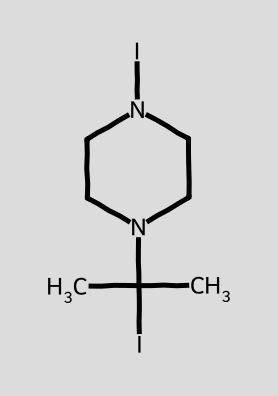 CC(C)(I)N1CCN(I)CC1